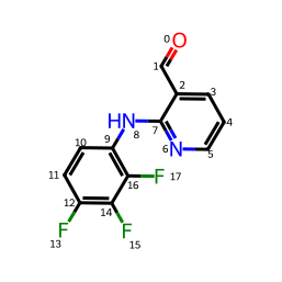 O=Cc1cccnc1Nc1ccc(F)c(F)c1F